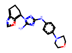 Nc1nc(Nc2ccc(N3CCOCC3)cc2)nn1C1=c2ocnc2=CCC1